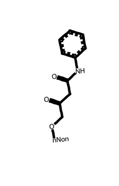 CCCCCCCCCOCC(=O)CC(=O)Nc1ccccc1